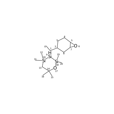 CC(C1CCC2OC2C1)[SiH]1[Si](C)(C)CC(C)(C)O[Si]1(C)C